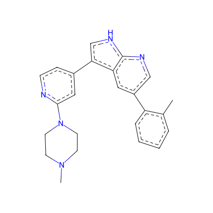 Cc1ccccc1-c1cnc2[nH]cc(-c3ccnc(N4CCN(C)CC4)c3)c2c1